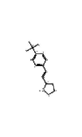 CC(C)(C)c1ccc(C=CC2CCCO2)cc1